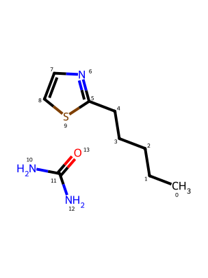 CCCCCc1nccs1.NC(N)=O